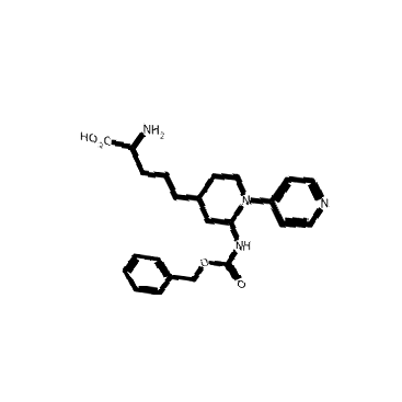 NC(CCCC1CCN(c2ccncc2)C(NC(=O)OCc2ccccc2)C1)C(=O)O